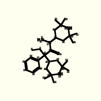 CCC(C(=O)N(N)C1CC(C)(C)NC(C)(C)C1)(c1ccccc1)C1CC(C)(C)NC(C)(C)C1